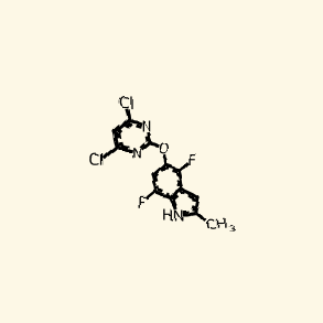 Cc1cc2c(F)c(Oc3nc(Cl)cc(Cl)n3)cc(F)c2[nH]1